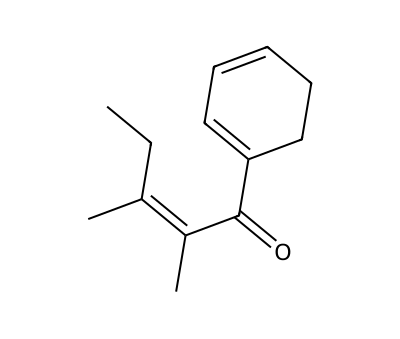 CCC(C)=C(C)C(=O)C1=CC=CCC1